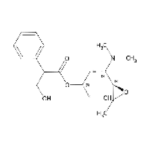 CC[C@@H](C[C@@H]([C@H]1OC1C)N(C)C)OC(=O)C(CO)c1ccccc1